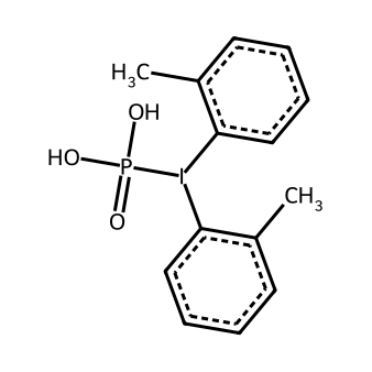 Cc1ccccc1I(c1ccccc1C)P(=O)(O)O